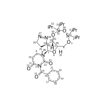 CC(C)[Si]1(C(C)C)OC[C@H]2O[C@@H](n3ccc(=O)n(C(=O)c4ccccc4)c3=O)[C@@]3(CCN=N3)[C@@H]2O[Si](C(C)C)(C(C)C)O1